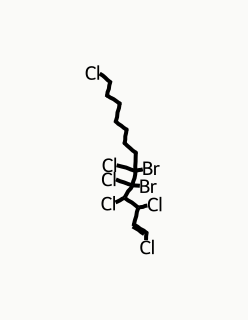 ClC=CC(Cl)C(Cl)C(Cl)(Br)C(Cl)(Br)CCCCCCCCl